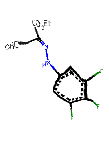 CCOC(=O)/C(C=O)=N/Nc1cc(F)c(F)c(F)c1